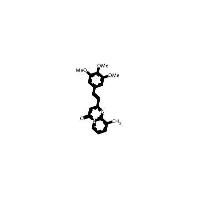 COc1cc(/C=C/c2cc(=O)n3cccc(C)c3n2)cc(OC)c1OC